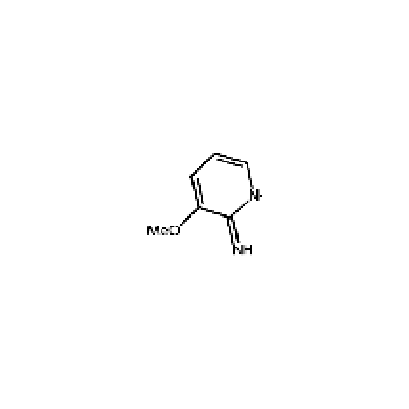 COC1=CC=C[N]C1=N